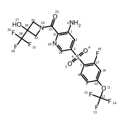 Nc1cc(S(=O)(=O)c2ccc(OC(F)(F)F)cc2F)cnc1C(=O)N1CC(O)(C(F)(F)F)C1